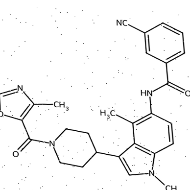 Cc1ncoc1C(=O)N1CCC(c2cn(C)c3ccc(NC(=O)c4cccc(C#N)c4)c(C)c23)CC1